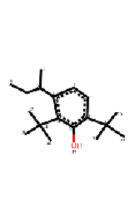 CCC(C)c1ccc(C(C)(C)C)c(O)c1C(C)(C)C